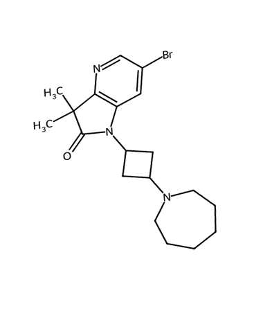 CC1(C)C(=O)N(C2CC(N3CCCCCC3)C2)c2cc(Br)cnc21